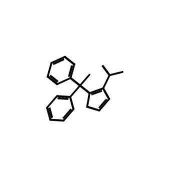 CC(C)C1=C(C(C)(c2ccccc2)c2ccccc2)CC=C1